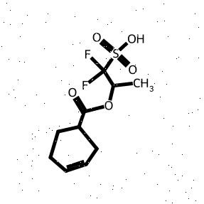 CC(OC(=O)C1CC=CCC1)C(F)(F)S(=O)(=O)O